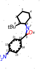 CC(C)(C)C1CCCCC1N1OC1c1ccc(N)cc1